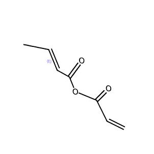 C=CC(=O)OC(=O)/C=C/C